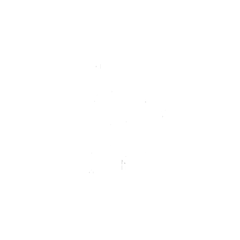 COC(=O)C1CC(c2c(OC)ccc(Cl)c2Cl)CCN1